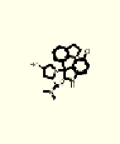 CN(C)C(=O)[C@@H]1C[C@@H](O)CN1C1(c2cccc3c2OCC3)C(=O)Nc2ccc(Cl)cc21